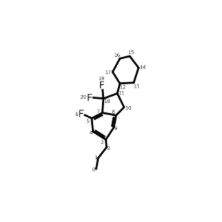 CCCc1cc(F)c2c(c1)CC(C1CCCCC1)C2(F)F